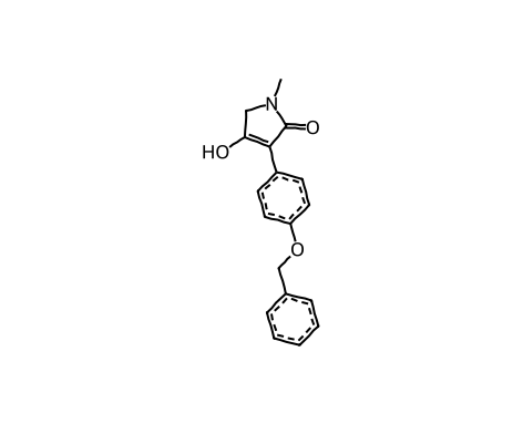 CN1CC(O)=C(c2ccc(OCc3ccccc3)cc2)C1=O